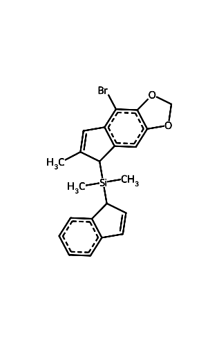 CC1=Cc2c(cc3c(c2Br)OCO3)C1[Si](C)(C)C1C=Cc2ccccc21